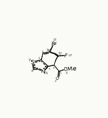 COC(=O)C1c2ncsc2C=C(Br)C1F